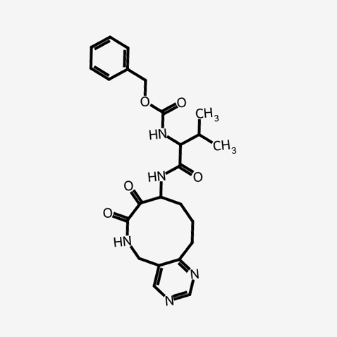 CC(C)C(NC(=O)OCc1ccccc1)C(=O)NC1CCCc2ncncc2CNC(=O)C1=O